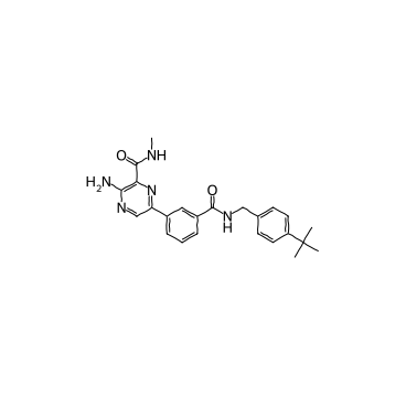 CNC(=O)c1nc(-c2cccc(C(=O)NCc3ccc(C(C)(C)C)cc3)c2)cnc1N